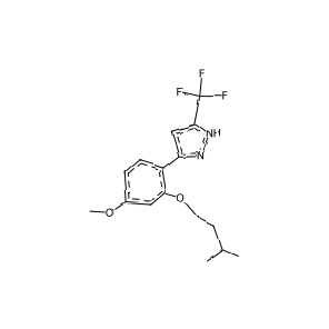 COc1ccc(-c2cc(C(F)(F)F)[nH]n2)c(OCCC(C)C)c1